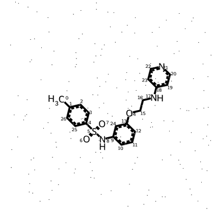 Cc1ccc(S(=O)(=O)Nc2cccc(OCCNc3ccncc3)c2)cc1